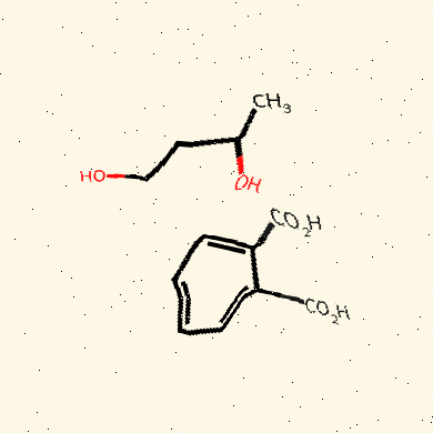 CC(O)CCO.O=C(O)c1ccccc1C(=O)O